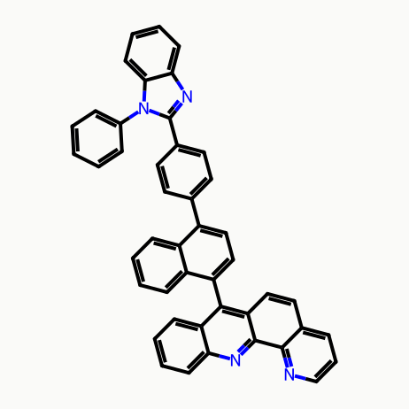 c1ccc(-n2c(-c3ccc(-c4ccc(-c5c6ccccc6nc6c5ccc5cccnc56)c5ccccc45)cc3)nc3ccccc32)cc1